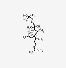 CC=CC(C)(OC(C)C(C)C(C)(C)OCCC(C)(C)O)C(C)CCOC(C)C